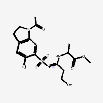 COC(=O)C(C)N/C(CCO)=N\S(=O)(=O)c1cc2c(cc1Cl)CCN2C(C)=O